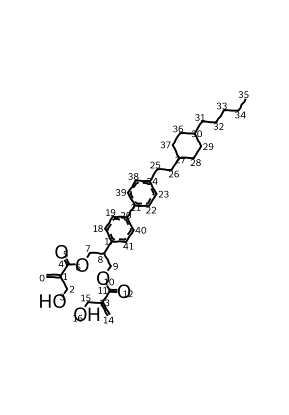 C=C(CO)C(=O)OCC(COC(=O)C(=C)CO)c1ccc(-c2ccc(CCC3CCC(CCCCC)CC3)cc2)cc1